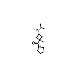 CC(C)N[C@H]1C[C@@](C)(C(=O)N2CCCC2)C1